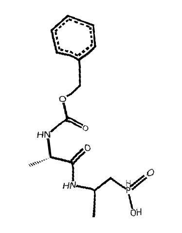 CC(C[PH](=O)O)NC(=O)[C@H](C)NC(=O)OCc1ccccc1